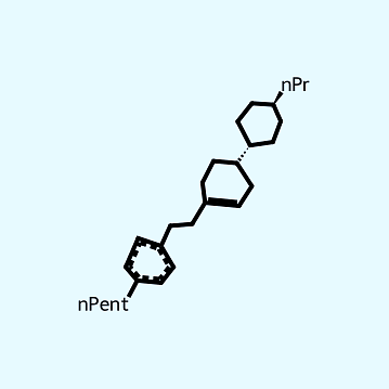 CCCCCc1ccc(CCC2=CCC([C@H]3CC[C@H](CCC)CC3)CC2)cc1